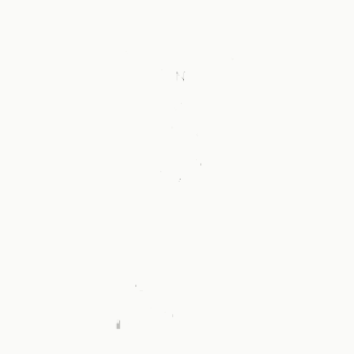 CC(C)C(=O)OCCCCCC(=O)Oc1ccc(N(c2ccccc2)c2ccccc2)cc1